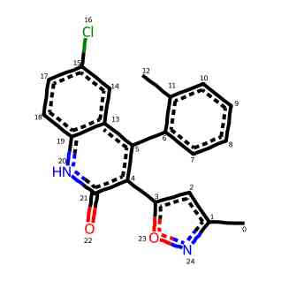 Cc1cc(-c2c(-c3ccccc3C)c3cc(Cl)ccc3[nH]c2=O)on1